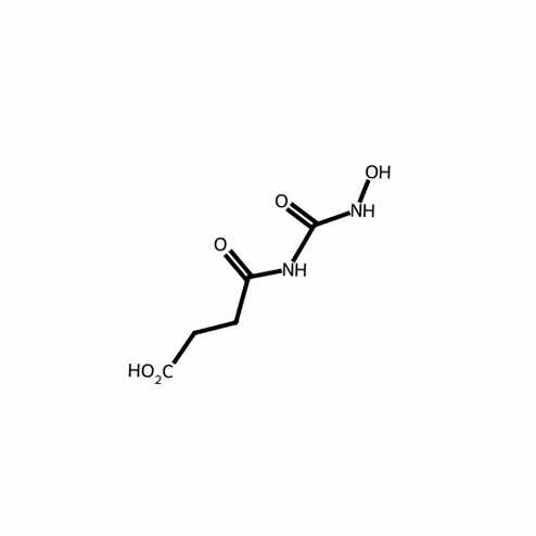 O=C(O)CCC(=O)NC(=O)NO